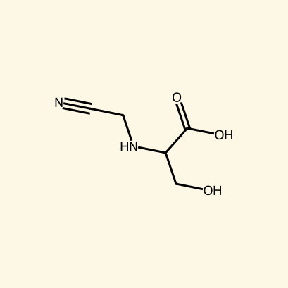 N#CCNC(CO)C(=O)O